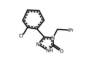 CC(C)Cn1c(-c2ccccc2Cl)n[nH]c1=O